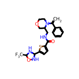 C=C(c1ccccc1)N1CCOCC1CNC(=O)c1ccc(C2NOC(C(F)(F)F)N2)s1